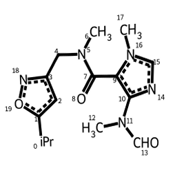 CC(C)c1cc(CN(C)C(=O)c2c(N(C)C=O)ncn2C)no1